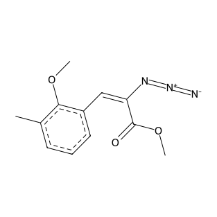 COC(=O)/C(=C\c1cccc(C)c1OC)N=[N+]=[N-]